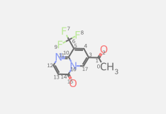 CC(=O)c1cc(C(F)(F)F)c2nccc(=O)n2c1